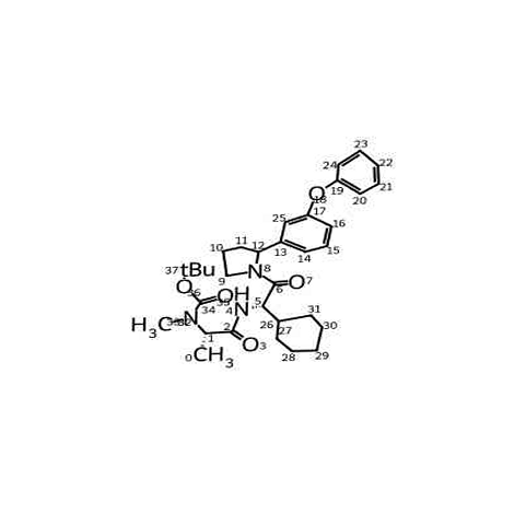 C[C@@H](C(=O)N[C@H](C(=O)N1CCCC1c1cccc(Oc2ccccc2)c1)C1CCCCC1)N(C)C(=O)OC(C)(C)C